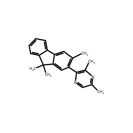 Cc1cnc(-c2cc3c(cc2C)-c2ccccc2C3(C)C)c(C)n1